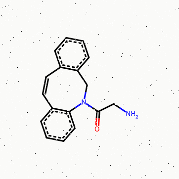 NCC(=O)N1Cc2ccccc2/C=C\c2ccccc21